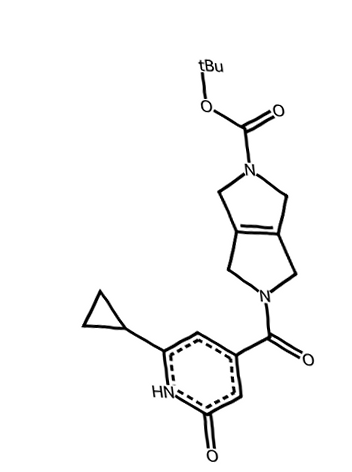 CC(C)(C)OC(=O)N1CC2=C(C1)CN(C(=O)c1cc(C3CC3)[nH]c(=O)c1)C2